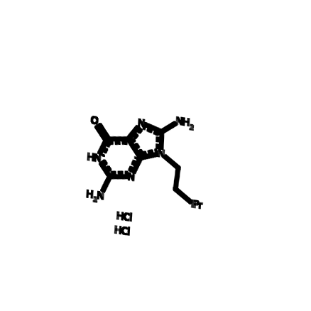 CC(C)CCn1c(N)nc2c(=O)[nH]c(N)nc21.Cl.Cl